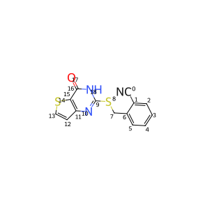 N#Cc1ccccc1CSc1nc2ccsc2c(=O)[nH]1